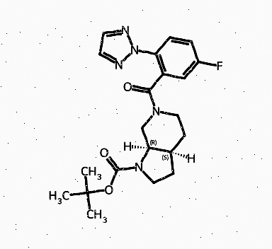 CC(C)(C)OC(=O)N1CC[C@@H]2CCN(C(=O)c3cc(F)ccc3-n3nccn3)C[C@@H]21